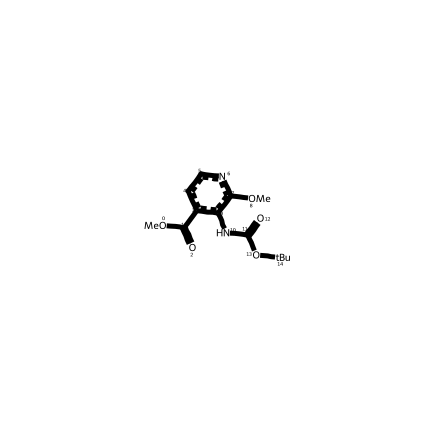 COC(=O)c1ccnc(OC)c1NC(=O)OC(C)(C)C